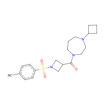 N#Cc1ccc(S(=O)(=O)N2CC(C(=O)N3CCCN(C4CCC4)CC3)C2)cc1